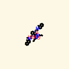 CCCCn1c(O)c(C2=C(/C=C/C(C)=N/c3ccc4ccccc4c3C)CCC/C2=C\C=C(/C)N(CC)c2ccc3ccccc3c2C)c(=O)n(CCCC)c1=O